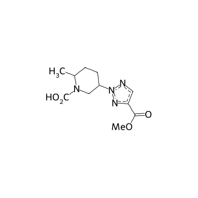 COC(=O)c1cnn(C2CCC(C)N(C(=O)O)C2)n1